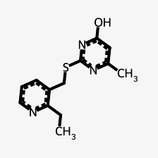 CCc1ncccc1CSc1nc(C)cc(O)n1